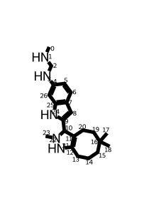 CNCNc1ccc2cc(C3C4=C(CCCC(C)(C)CC4)NN3C)[nH]c2c1